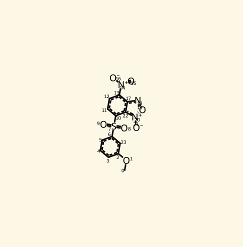 COc1cccc(S(=O)(=O)c2ccc([N+](=O)[O-])c3no[n+]([O-])c23)c1